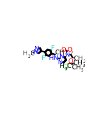 C[C@H](Nc1nc(Cl)cc(N2C(=O)OC[C@@H]2[C@@H](C)OC(C)(C)C)n1)c1cc(F)c(-c2cnn(C)c2)cc1F